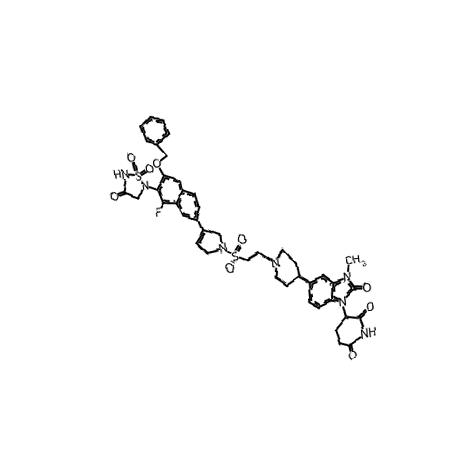 Cn1c(=O)n(C2CCC(=O)NC2=O)c2ccc(C3CCN(CCS(=O)(=O)N4CC=C(c5ccc6cc(OCc7ccccc7)c(N7CC(=O)NS7(=O)=O)c(F)c6c5)C4)CC3)cc21